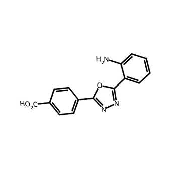 Nc1ccccc1-c1nnc(-c2ccc(C(=O)O)cc2)o1